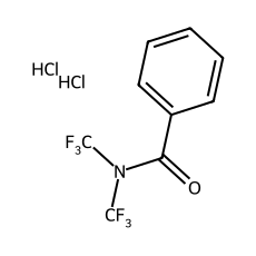 Cl.Cl.O=C(c1ccccc1)N(C(F)(F)F)C(F)(F)F